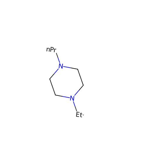 C[CH]N1CCN(CCC)CC1